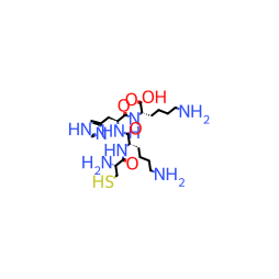 NCCCC[C@H](NC(=O)[C@H](Cc1c[nH]cn1)NC(=O)[C@H](CCCCN)NC(=O)[C@@H](N)CS)C(=O)O